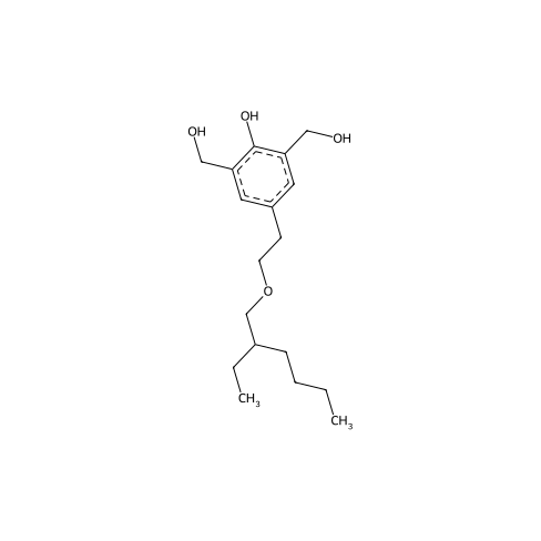 CCCCC(CC)COCCc1cc(CO)c(O)c(CO)c1